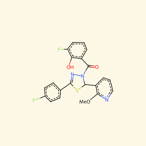 COc1ncccc1C1SC(c2ccc(F)cc2)=NN1C(=O)c1cccc(F)c1O